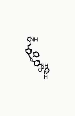 O=C(Nc1ccc(CN(Cc2ccc(C=C[C@@H]3CCCN3)cc2)c2ccccc2)cc1)[C@@H]1CCCN1